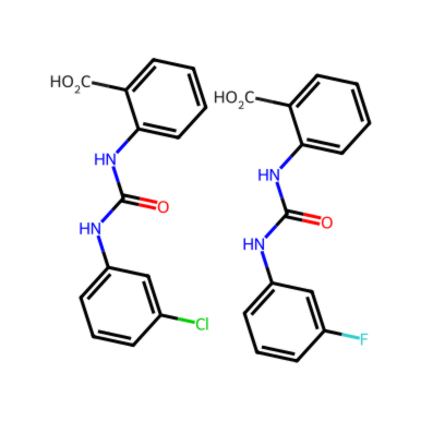 O=C(Nc1cccc(Cl)c1)Nc1ccccc1C(=O)O.O=C(Nc1cccc(F)c1)Nc1ccccc1C(=O)O